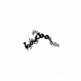 CCCCOCCOc1ccc(-c2ccc3c(c2)C=C(C(=O)Nc2ccc([S+]([O-])Cc4cncn4C4CC4)cc2)CCN3CC(C)C)cc1